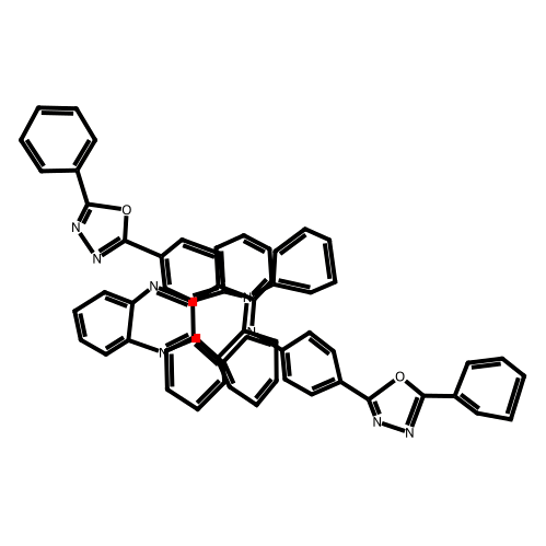 c1ccc(-c2nnc(-c3ccc(N(c4ccccc4)c4ccccc4-c4nc5ccccc5nc4-c4ccccc4N(c4ccccc4)c4ccc(-c5nnc(-c6ccccc6)o5)cc4)cc3)o2)cc1